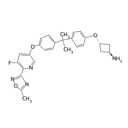 Cc1nc(-c2ncc(Oc3ccc(C(C)(C)c4ccc(O[C@H]5C[C@H](N)C5)cc4)cc3)cc2F)no1